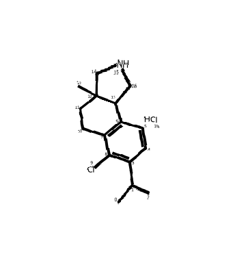 CC(C)c1ccc2c(c1Cl)CCC1(C)CNCC21.Cl